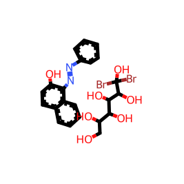 OCC(O)C(O)C(O)C(O)C(O)(Br)Br.Oc1ccc2ccccc2c1N=Nc1ccccc1